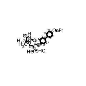 CCCOc1ccc(-c2ccc(OC[C@@H](CN3C(=O)NC(=O)C3(C)C)N(O)C=O)cc2)cc1